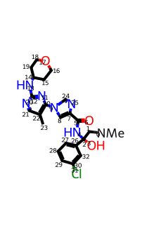 CNCC(O)(NC(=O)c1cn(-c2nc(NC3CCOCC3)ncc2C)cn1)c1cccc(Cl)c1